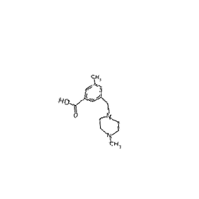 Cc1cc(CN2CCN(C)CC2)cc(C(=O)O)c1